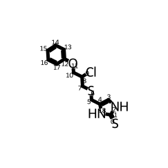 S=c1[nH]cc(CSCC(Cl)COc2ccccc2)[nH]1